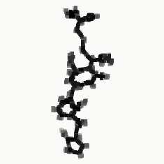 CC(CCCC(=O)O)c1c(F)cc(-c2cccc(SC3CCCC3)n2)cc1F